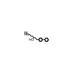 OC(CCC[NH][Rf])CCc1ccc(-c2ccccc2)cc1